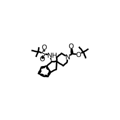 CC(C)(C)OC(=O)N1CCC2(CC1)Cc1ccccc1[C@H]2NS(=O)(=O)C(C)(C)C